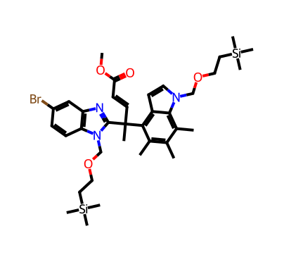 COC(=O)C=CC(C)(c1c(C)c(C)c(C)c2c1ccn2COCC[Si](C)(C)C)c1nc2cc(Br)ccc2n1COCC[Si](C)(C)C